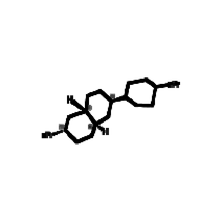 CCCC1CCC([C@@H]2CC[C@H]3C[C@@H](CCC)CC[C@@H]3C2)CC1